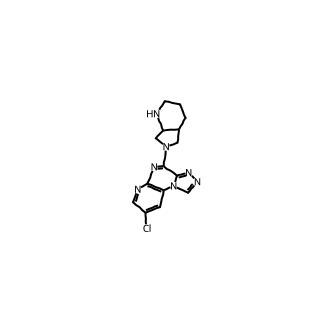 Clc1cnc2nc(N3CC4CCCNC4C3)c3nncn3c2c1